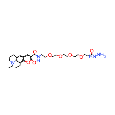 CCc1c2c(cc3cc(C(=O)NCCOCCOCCOCCOCCC(=O)NN)c(=O)oc13)CCCN2CC